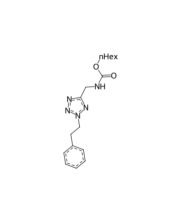 CCCCCCOC(=O)NCc1nnn(CCc2ccccc2)n1